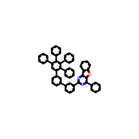 c1ccc(-c2cc(-c3cccc(-c4cccc(-c5nc(-c6ccccc6)c6oc7ccccc7c6n5)c4)c3)c(-c3ccccc3)c(-c3ccccc3)c2-c2ccccc2)cc1